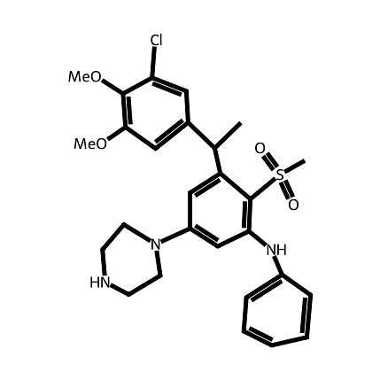 COc1cc(C(C)c2cc(N3CCNCC3)cc(Nc3ccccc3)c2S(C)(=O)=O)cc(Cl)c1OC